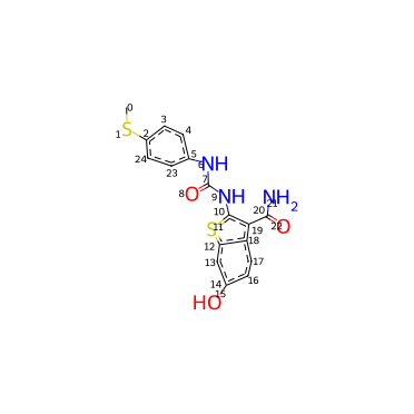 CSc1ccc(NC(=O)Nc2sc3cc(O)ccc3c2C(N)=O)cc1